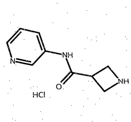 Cl.O=C(Nc1cccnc1)C1CNC1